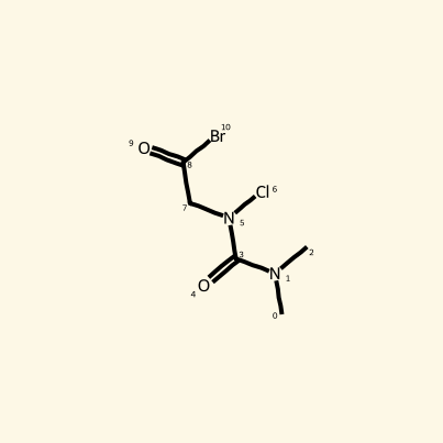 CN(C)C(=O)N(Cl)CC(=O)Br